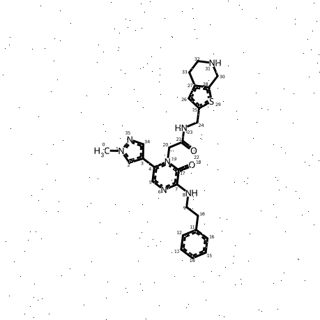 Cn1cc(-c2cnc(NCCc3ccccc3)c(=O)n2CC(=O)NCc2cc3c(s2)CNCC3)cn1